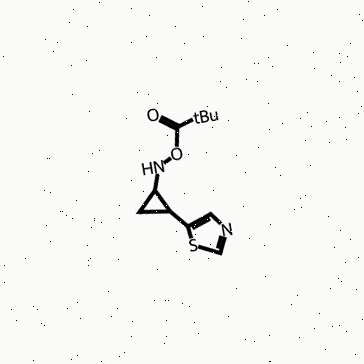 CC(C)(C)C(=O)ONC1CC1c1cncs1